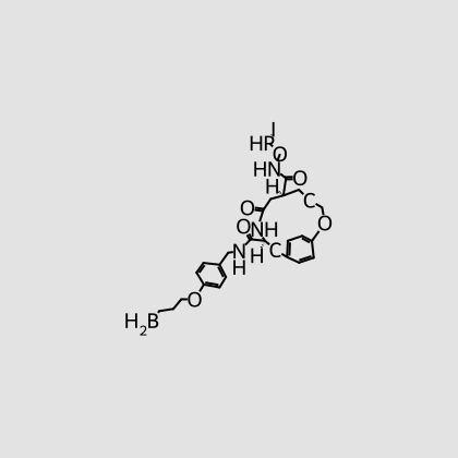 BCCCOc1ccc(CNC(=O)[C@@H]2Cc3ccc(cc3)OCCC[C@H](C(=O)NOPI)CC(=O)N2)cc1